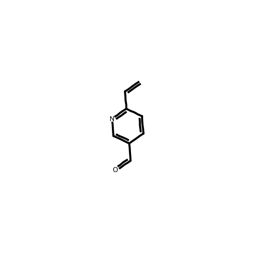 C=Cc1ccc(C=O)cn1